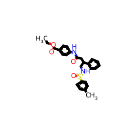 CCOC(=O)c1ccc(NC(=O)CC(CN[S+]([O-])c2ccc(C)cc2)c2ccccc2)cc1